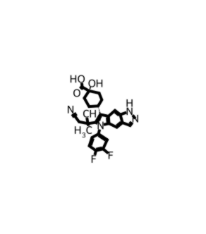 CC(C)(CC#N)c1c([C@H]2CC[C@](O)(C(=O)O)CC2)c2cc3[nH]ncc3cc2n1-c1ccc(F)c(F)c1